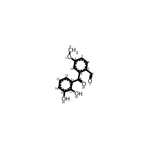 COc1ccc(C=O)c(C(=O)c2cccc(O)c2O)c1